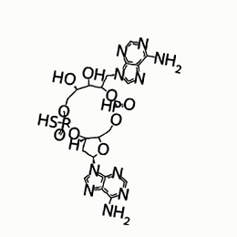 Nc1ncnc2c1ncn2CC1O[PH](=O)OCC2O[C@@H](n3cnc4c(N)ncnc43)C[C@@H]2OP(=O)(S)OC[C@@H](O)C1O